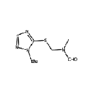 CN(C=O)CSc1ncnn1C(C)(C)C